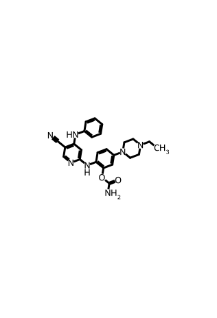 CCN1CCN(c2ccc(Nc3cc(Nc4ccccc4)c(C#N)cn3)c(OC(N)=O)c2)CC1